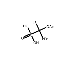 CCCC(CC)(OC(C)=O)P(=O)(O)O